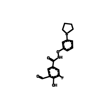 O=Cc1cc(C(=O)NOc2cccc(N3CCCC3)c2)cc(F)c1O